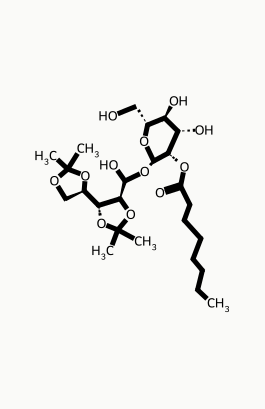 CCCCCCCC(=O)O[C@@H]1[C@H](OC(O)[C@H]2OC(C)(C)O[C@@H]2[C@H]2COC(C)(C)O2)O[C@H](CO)[C@@H](O)[C@@H]1O